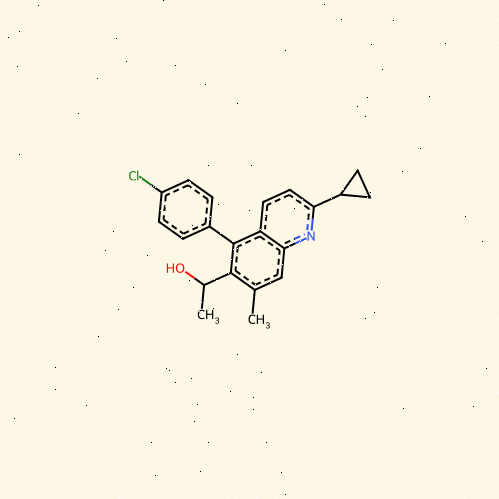 Cc1cc2nc(C3CC3)ccc2c(-c2ccc(Cl)cc2)c1C(C)O